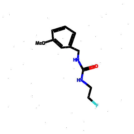 COc1cccc(CNC(=O)NCCF)c1